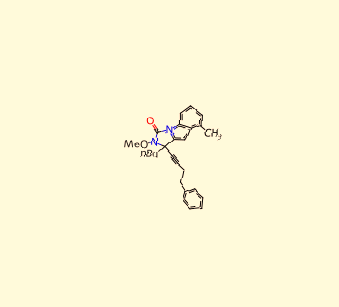 CCCCC1(C#CCCc2ccccc2)c2cc3c(C)cccc3n2C(=O)N1OC